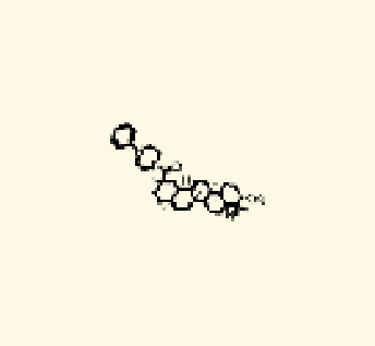 CC1(C)[C@@H](O)CC[C@]2(C)[C@H]3CC=C4[C@@H]5C[C@@](C)(C(=O)N6CCN(c7ccccc7)CC6)CC[C@]5(C)CC[C@@]4(C)[C@]3(C)CC[C@@H]12